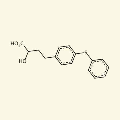 O=C(O)C(O)CCc1ccc(Sc2ccccc2)cc1